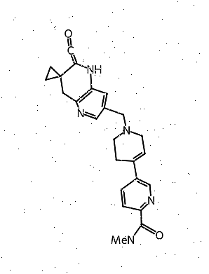 CNC(=O)c1ccc(C2=CCN(Cc3cnc4c(c3)NC(=C=O)C3(CC3)C4)CC2)cn1